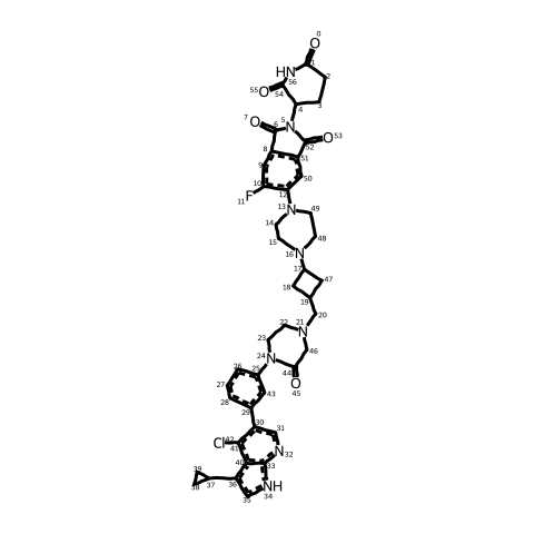 O=C1CCC(N2C(=O)c3cc(F)c(N4CCN(C5CC(CN6CCN(c7cccc(-c8cnc9[nH]cc(C%10CC%10)c9c8Cl)c7)C(=O)C6)C5)CC4)cc3C2=O)C(=O)N1